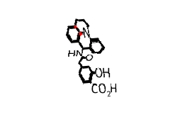 O=C(Cc1ccc(C(=O)O)c(O)c1)NC(c1ccccc1)c1ccccc1N1CCCCC1